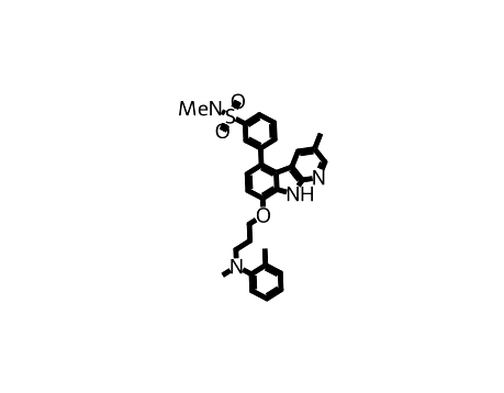 CNS(=O)(=O)c1cccc(-c2ccc(OCCCN(C)c3ccccc3C)c3[nH]c4ncc(C)cc4c23)c1